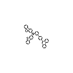 c1cc(-c2ccc(-c3cc4ccccc4c4ccccc34)cc2)cc(N(c2ccc3c(c2)oc2ccccc23)c2ccc3c(c2)sc2ccccc23)c1